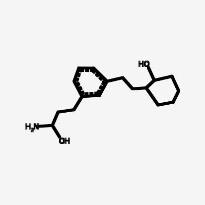 NC(O)CCc1cccc(CCC2CCCCC2O)c1